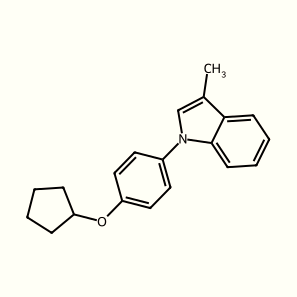 Cc1cn(-c2ccc(OC3CCCC3)cc2)c2ccccc12